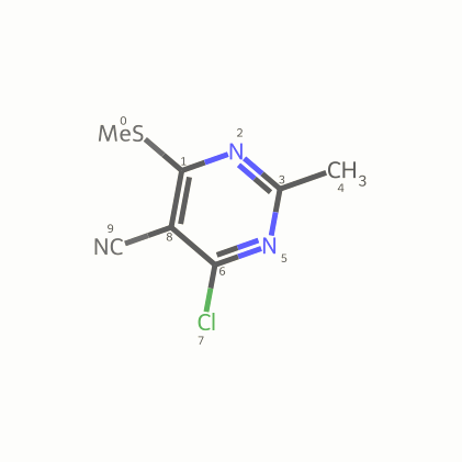 CSc1nc(C)nc(Cl)c1C#N